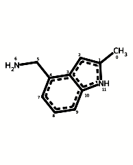 Cc1cc2c(CN)cccc2[nH]1